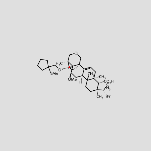 CNC1(CO[C@H]2[C@H](OC)C[C@@]34COC[C@@]2(C)[C@@H]3CC[C@H]2C4=CC[C@@]3(C)[C@H](C(=O)O)[C@@](C)([C@H](C)C(C)C)CC[C@]23C)CCCC1